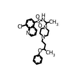 CC(CCN1CCN(C(C)NS(=O)(=O)c2ccc(Cl)c3ncccc23)CC1)Oc1ccccc1